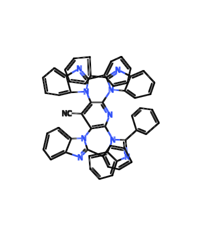 N#Cc1c(-n2c(-c3ccccc3)nc3ccccc32)c(-n2c(-c3ccccc3)nc3ccccc32)nc(-n2c(-c3ccccc3)nc3ccccc32)c1-n1c(-c2ccccc2)nc2ccccc21